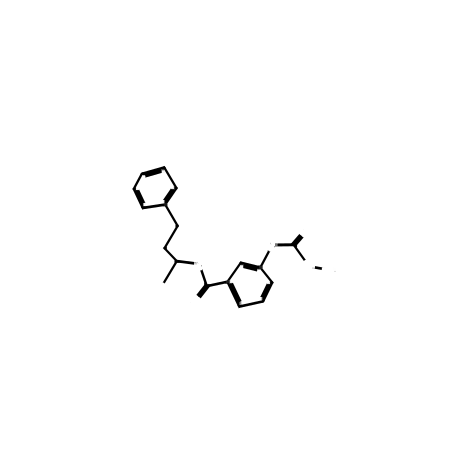 CC(CCc1ccccc1)NC(=O)c1cccc(NC(=O)OC(C)(C)C)c1